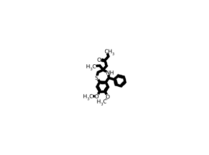 CCC(=O)CC1(CC)CSc2cc(OC)c(OC)cc2C(c2ccccc2)N1